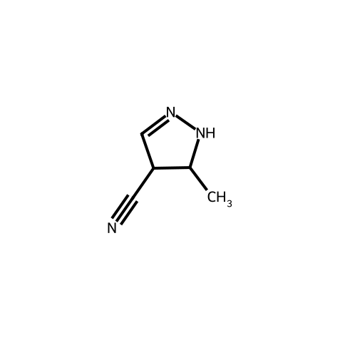 CC1NN=CC1C#N